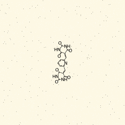 O=C1NC(=O)C(=Cc2cccc(C=C3C(=O)NC(=O)NC3=O)n2)C(=O)N1